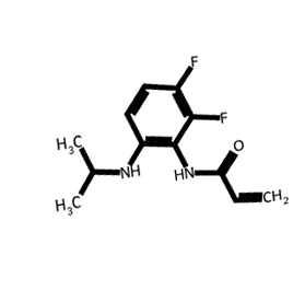 C=CC(=O)Nc1c(NC(C)C)ccc(F)c1F